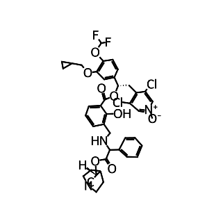 O=C(O[C@@H](Cc1c(Cl)c[n+]([O-])cc1Cl)c1ccc(OC(F)F)c(OCC2CC2)c1)c1cccc(CNC(C(=O)O[C@H]2CN3CCC2CC3)c2ccccc2)c1O